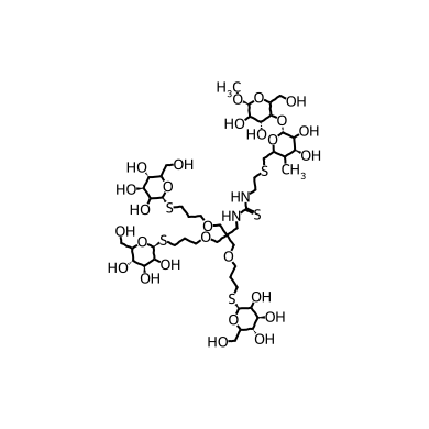 CO[C@H]1OC(CO)C(O[C@H]2OC(CSCCNC(=S)NCC(COCCCS[C@@H]3OC(CO)[C@@H](O)[C@H](O)C3O)(COCCCS[C@@H]3OC(CO)[C@@H](O)[C@H](O)C3O)COCCCS[C@@H]3OC(CO)[C@@H](O)[C@H](O)C3O)C(C)[C@H](O)C2O)[C@H](O)C1O